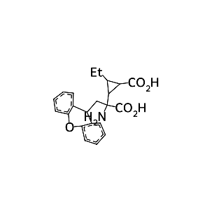 CCC1C(C(=O)O)C1C(N)(CC1c2ccccc2Oc2ccccc21)C(=O)O